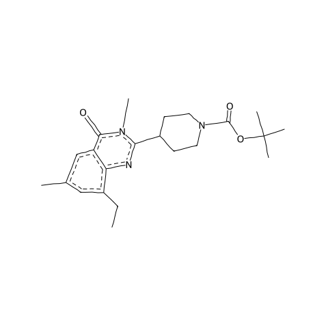 CCc1cc(C)cc2c(=O)n(C)c(C3CCN(C(=O)OC(C)(C)C)CC3)nc12